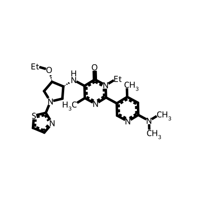 CCO[C@H]1CN(c2nccs2)C[C@H]1Nc1c(C)nc(-c2cnc(N(C)C)cc2C)n(CC)c1=O